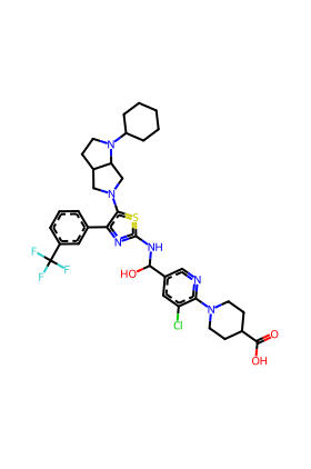 O=C(O)C1CCN(c2ncc(C(O)Nc3nc(-c4cccc(C(F)(F)F)c4)c(N4CC5CCN(C6CCCCC6)C5C4)s3)cc2Cl)CC1